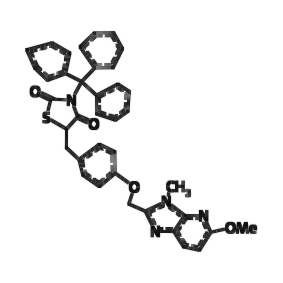 COc1ccc2nc(COc3ccc(CC4SC(=O)N(C(c5ccccc5)(c5ccccc5)c5ccccc5)C4=O)cc3)n(C)c2n1